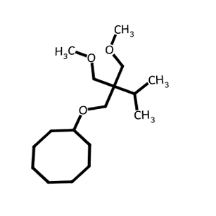 COCC(COC)(COC1CCCCCCC1)C(C)C